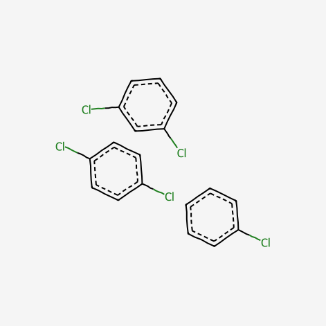 Clc1ccc(Cl)cc1.Clc1cccc(Cl)c1.Clc1ccccc1